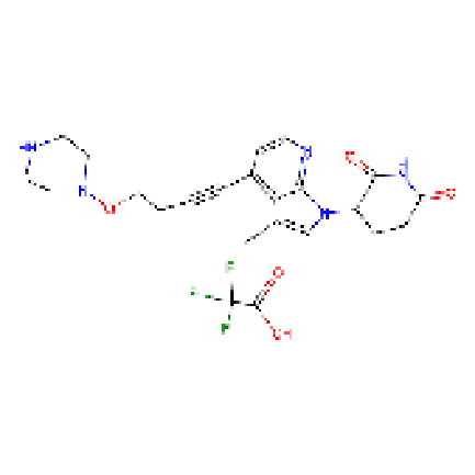 Cc1cn(C2CCC(=O)NC2=O)c2nccc(C#CCCON3CCNCC3)c12.O=C(O)C(F)(F)F